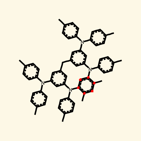 Cc1ccc(N(c2ccc(C)cc2)c2cc(Cc3cc(N(c4ccc(C)cc4)c4ccc(C)cc4)cc(N(c4ccc(C)cc4)c4ccc(C)cc4)c3)cc(N(c3ccc(C)cc3)c3ccc(C)cc3)c2)cc1